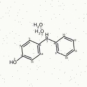 O.O.Oc1ccc(Bc2ccccc2)cc1